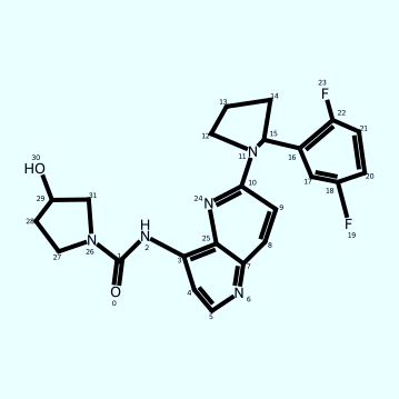 O=C(Nc1ccnc2ccc(N3CCCC3c3cc(F)ccc3F)nc12)N1CCC(O)C1